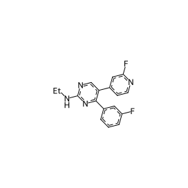 CCNc1ncc(-c2ccnc(F)c2)c(-c2cccc(F)c2)n1